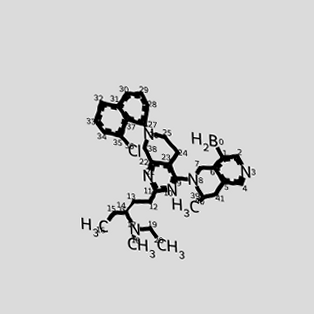 Bc1cncc2c1CN(c1nc(CC[C@H](CC)N(C)CC)nc3c1CCN(c1cccc4cccc(Cl)c14)C3)C(C)C2